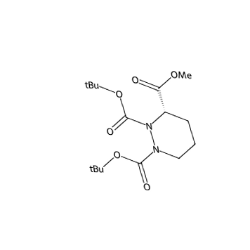 COC(=O)[C@@H]1CCCN(C(=O)OC(C)(C)C)N1C(=O)OC(C)(C)C